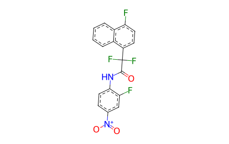 O=C(Nc1ccc([N+](=O)[O-])cc1F)C(F)(F)c1ccc(F)c2ccccc12